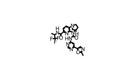 Cc1ncc(-c2cc(NC(=O)N3c4nc(C(=O)NC(C)C(F)(F)F)ccc4N4CC[C@H]3C4)ncn2)o1